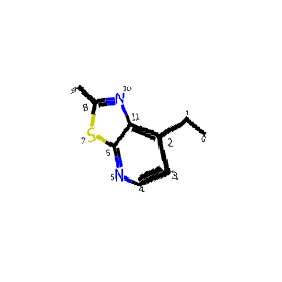 CCc1ccnc2sc(C)nc12